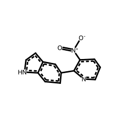 O=[N+]([O-])c1cccnc1-c1ccc2[nH]ccc2c1